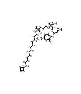 Nc1ccn(C[C@@H](CO)OCP(=O)(O)OCCCS(=O)(=O)CCCCCCCCCCCCCCC2CCC2)c(=O)n1